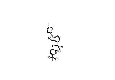 C[C@H](NC(=O)c1cncc2c1cnn2-c1ccc(F)cc1)c1cccc(S(C)(=O)=O)c1